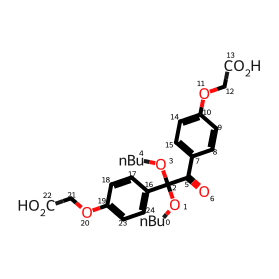 CCCCOC(OCCCC)(C(=O)c1ccc(OCC(=O)O)cc1)c1ccc(OCC(=O)O)cc1